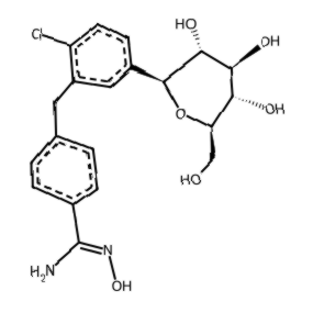 NC(=NO)c1ccc(Cc2cc([C@@H]3O[C@H](CO)[C@@H](O)[C@H](O)[C@H]3O)ccc2Cl)cc1